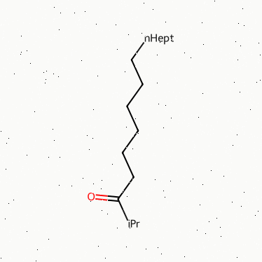 [CH2]C(C)C(=O)CCCCCCCCCCCCC